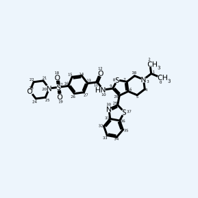 CC(C)N1CCc2c(sc(NC(=O)c3ccc(S(=O)(=O)N4CCOCC4)cc3)c2-c2nc3ccccc3s2)C1